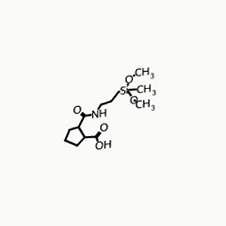 CO[Si](C)(CCCNC(=O)C1CCCC1C(=O)O)OC